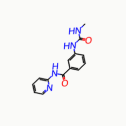 CNC(=O)Nc1cccc(C(=O)Nc2ccccn2)c1